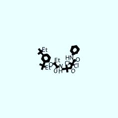 CCC(Oc1ccc(C(C)(C)CC)cc1C(C)(C)CC)C(=O)NCC(C)(C)C(=O)C(Cl)(Cl)C(=O)Nc1ccccc1